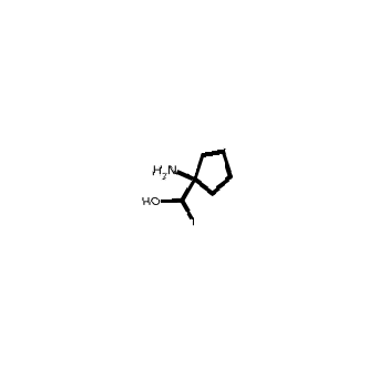 NC1(C(O)I)CCCC1